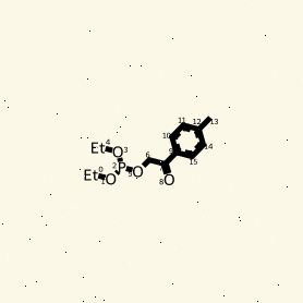 CCOP(OCC)OCC(=O)c1ccc(C)cc1